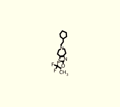 C[C@@H](Oc1nc2c(s1)CCN(CCC1CCCCC1)CC2)C(F)(F)F